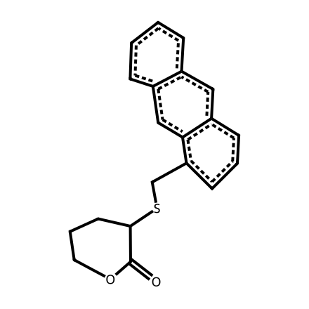 O=C1OCCCC1SCc1cccc2cc3ccccc3cc12